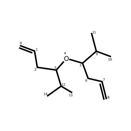 C=CCC(OC(CC=C)C(C)C)C(C)C